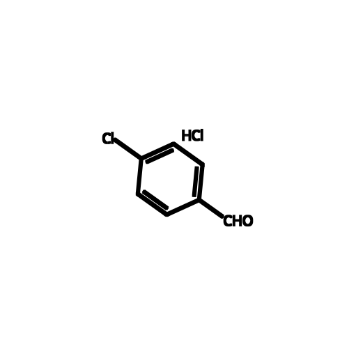 Cl.O=Cc1ccc(Cl)cc1